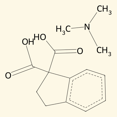 CN(C)C.O=C(O)C1(C(=O)O)CCc2ccccc21